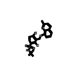 Cc1ccc2cccc(OCc3c(Cl)ccc(S(=O)(=O)NC(C)(C)C)c3Cl)c2n1